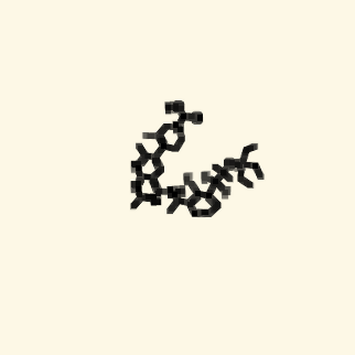 CC[Si](CC)(CC)OC(C)(C)C(F)(F)c1cccc(C(C)Nc2nc(C)nc3nc(C)c(C4=C(C)CN(C(=O)O)CC4)cc23)c1F